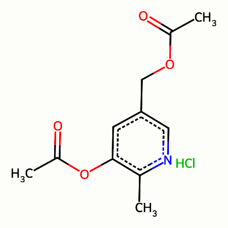 CC(=O)OCc1cnc(C)c(OC(C)=O)c1.Cl